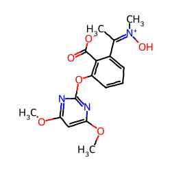 COc1cc(OC)nc(Oc2cccc(C(C)=[N+](C)O)c2C(=O)[O-])n1